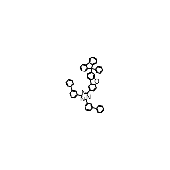 c1ccc(-c2cccc(-c3nc(-c4cccc(-c5ccccc5)c4)nc(-c4ccc5oc6cc(C7(c8ccccc8)c8ccccc8-c8ccccc87)ccc6c5c4)n3)c2)cc1